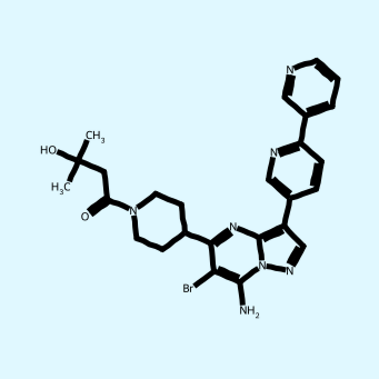 CC(C)(O)CC(=O)N1CCC(c2nc3c(-c4ccc(-c5cccnc5)nc4)cnn3c(N)c2Br)CC1